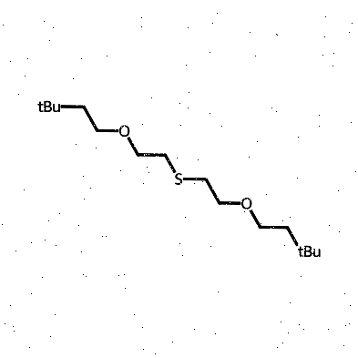 CC(C)(C)CCOCCSCCOCCC(C)(C)C